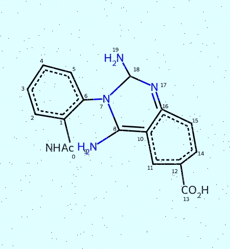 CC(=O)Nc1ccccc1N1C(N)=c2cc(C(=O)O)ccc2=NC1N